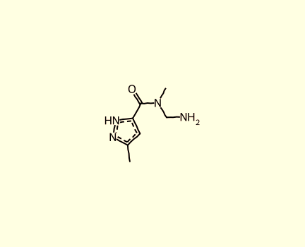 Cc1cc(C(=O)N(C)CN)[nH]n1